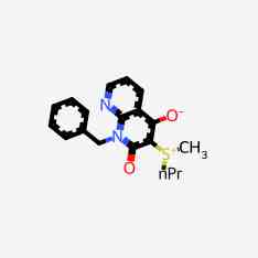 CCC[S+](C)c1c([O-])c2cccnc2n(Cc2ccccc2)c1=O